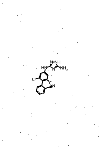 N#Cc1ccccc1-c1c(Cl)cc(Nc2n[nH]c(N)n2)cc1Cl